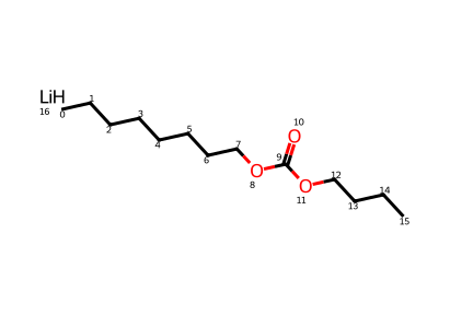 CCCCCCCCOC(=O)OCCCC.[LiH]